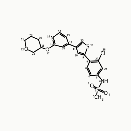 CS(=O)(=O)Nc1ccc(-c2cc(-c3ccnc(OC4CCCOC4)c3)cs2)c(Cl)c1